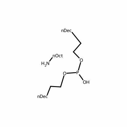 CCCCCCCCCCCCOP(O)OCCCCCCCCCCCC.CCCCCCCCN